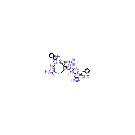 CNC1C(=O)N[C@@H](Cc2c[nH]c3ccccc23)C(=O)N[C@H](C(N)=O)CCCCN[C@@]1(CCNC(=N)N)C(=O)C[C@@H]1NC(=O)N([C@@H](Cc2cnc[nH]2)C(=O)N[C@@H](C=O)Cc2ccccc2)C1=O